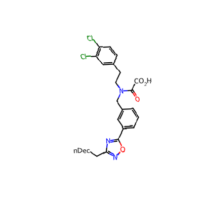 CCCCCCCCCCCc1noc(-c2cccc(CN(CCc3ccc(Cl)c(Cl)c3)C(=O)C(=O)O)c2)n1